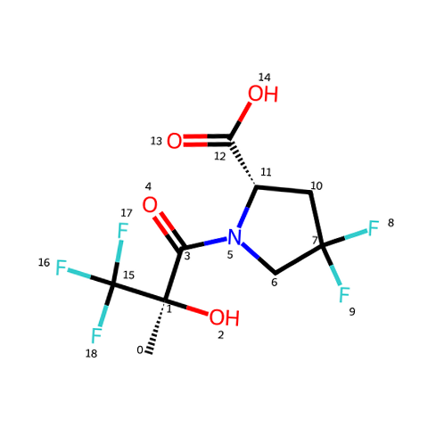 C[C@@](O)(C(=O)N1CC(F)(F)C[C@H]1C(=O)O)C(F)(F)F